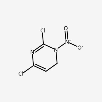 O=[N+]([O-])N1CC=C(Cl)N=C1Cl